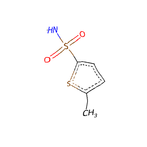 Cc1ccc(S([NH])(=O)=O)s1